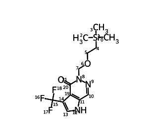 C[Si](C)(C)CCOCn1ncc2[nH]cc(C(F)(F)F)c2c1=O